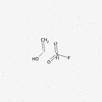 C=CO.O=[SH](=O)F